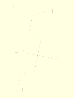 CCCC(C)(C)C=CC(C)O